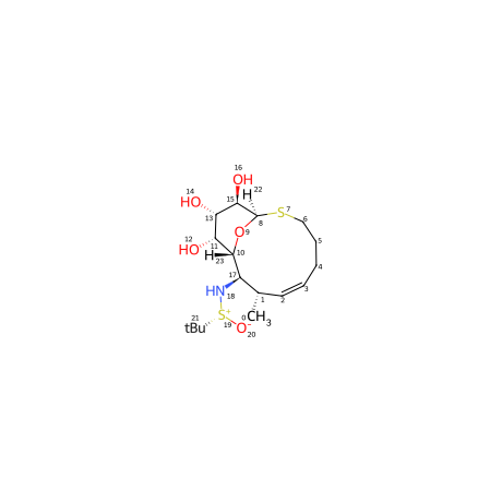 C[C@H]1C=CCCCS[C@H]2O[C@@H]([C@H](O)[C@H](O)[C@H]2O)[C@@H]1N[S@+]([O-])C(C)(C)C